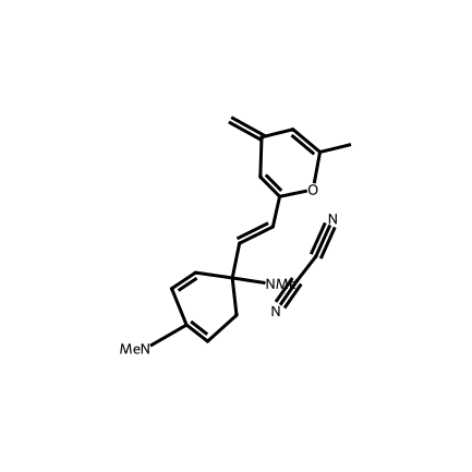 C=C1C=C(C)OC(C=CC2(NC)C=CC(NC)=CC2)=C1.N#CC#N